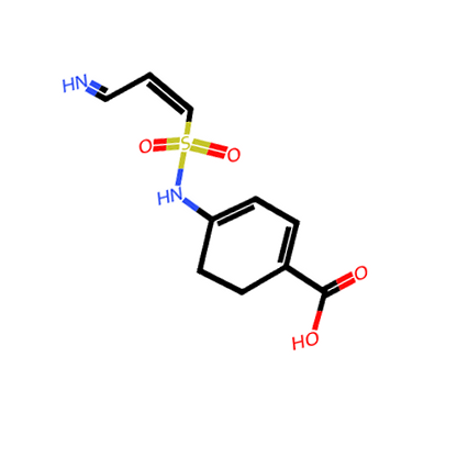 N=C/C=C\S(=O)(=O)NC1=CC=C(C(=O)O)CC1